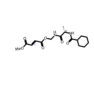 COC(=O)/C=C/C(=O)OCNC(=O)[C@H](C)NC(=O)C1CCCCC1